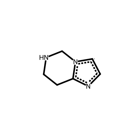 [c]1cnc2n1CNCC2